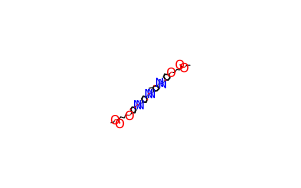 CCOC(=O)CCCOc1ccc(/N=N/c2ccc(/N=N/c3ccc(/N=N/c4ccc(OCCCC(=O)OCC)cc4)cc3C)cc2)cc1